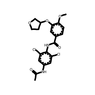 COc1ccc(C(=O)Nc2c(Cl)cc(NC(C)=O)cc2Cl)cc1OC1CCOC1